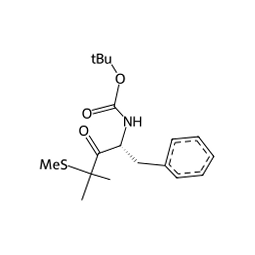 CSC(C)(C)C(=O)[C@@H](Cc1ccccc1)NC(=O)OC(C)(C)C